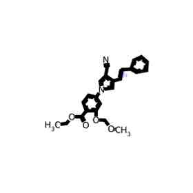 CCOC(=O)c1ccc(-n2cc(C#N)c(/C=C/c3ccccc3)c2)cc1OCOC